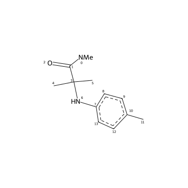 CNC(=O)C(C)(C)Nc1ccc(C)cc1